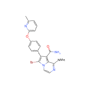 CNc1nccn2c(Br)c(-c3ccc(Oc4cccc(C)n4)cc3)c(C(N)=O)c12